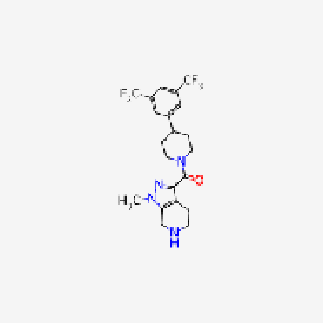 Cn1nc(C(=O)N2CCC(c3cc(C(F)(F)F)cc(C(F)(F)F)c3)CC2)c2c1CNCC2